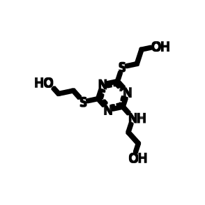 OCCNc1nc(SCCO)nc(SCCO)n1